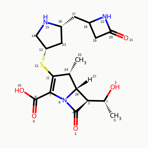 C[C@@H](O)[C@H]1C(=O)N2C(C(=O)O)=C(S[C@@H]3CN[C@H](CC4CC(=O)N4)C3)[C@H](C)[C@H]12